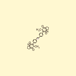 CC1C(=O)N2CCC[C@H]2C(=O)N1c1ccc(/C=C/c2ccc(N3C(=O)[C@@H]4CCCN4C(=O)C3C)cc2)cc1